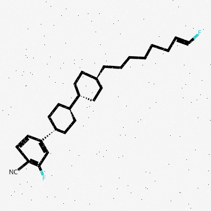 N#Cc1ccc([C@H]2CC[C@H]([C@H]3CC[C@H](CCCCCCC=CF)CC3)CC2)cc1F